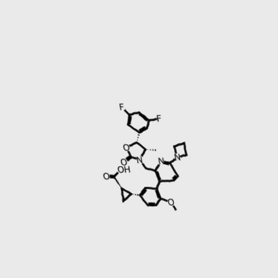 COc1ccc([C@@H]2C[C@H]2C(=O)O)cc1-c1ccc(N2CCC2)nc1CN1C(=O)O[C@H](c2cc(F)cc(F)c2)[C@@H]1C